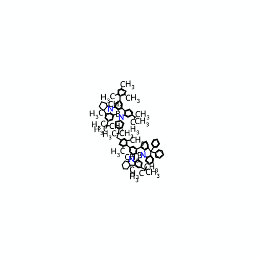 Cc1cc(C)c(-c2cc3c4c(c2)N2c5c(cc(C(C)(C)C)cc5C5(C)CCCCC25C)B4N(c2ccc(C(C)(C)Cc4cc(C)c(-c5cc6c7c(c5)N5c8c(cc(C(C)(C)C)cc8C8(C)CCCCC58C)B7N5c7ccccc7C(c7ccccc7)(c7ccccc7)c7cccc-6c75)c(C)c4)cc2)c2cc(C(C)(C)C)ccc2-3)c(C)c1